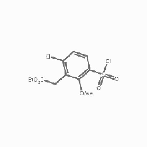 CCOC(=O)Cc1c(Cl)ccc(S(=O)(=O)Cl)c1OC